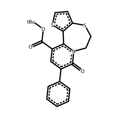 CC(C)(C)OC(=O)c1cc(-c2ccccc2)c(=O)n2c1-c1sccc1SCC2